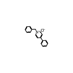 [Cl-].c1ccc(C[n+]2ccc(-c3ccccc3)cc2)cc1